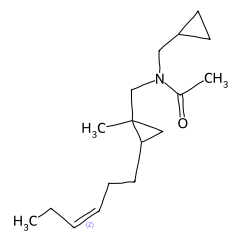 CC/C=C\CCC1CC1(C)CN(CC1CC1)C(C)=O